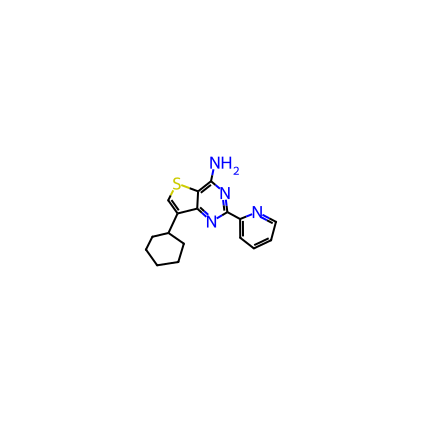 Nc1nc(-c2ccccn2)nc2c(C3CCCCC3)csc12